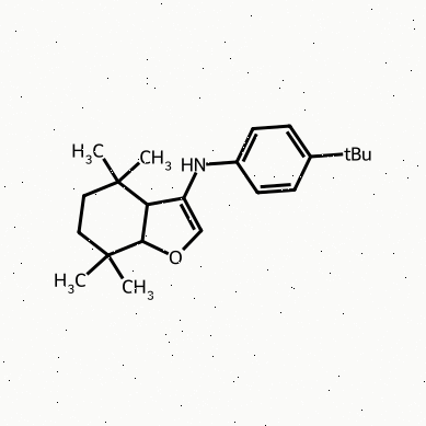 CC(C)(C)c1ccc(NC2=COC3C2C(C)(C)CCC3(C)C)cc1